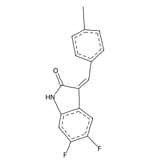 Cc1ccc(C=C2C(=O)Nc3cc(F)c(F)cc32)cc1